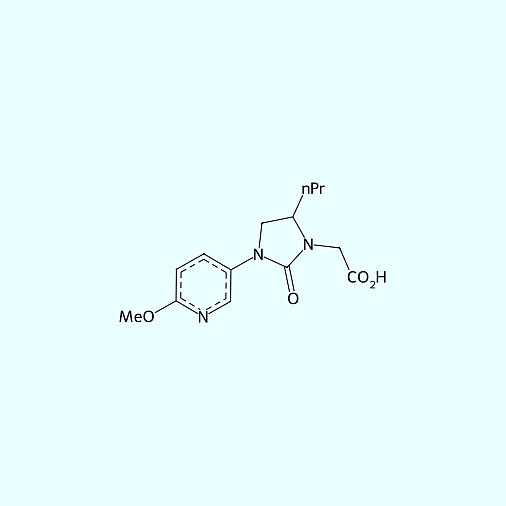 CCCC1CN(c2ccc(OC)nc2)C(=O)N1CC(=O)O